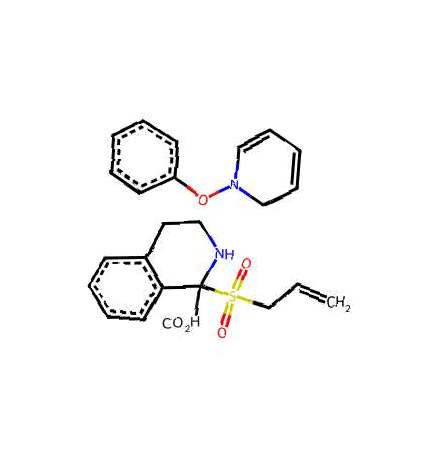 C1=CCN(Oc2ccccc2)C=C1.C=CCS(=O)(=O)C1(C(=O)O)NCCc2ccccc21